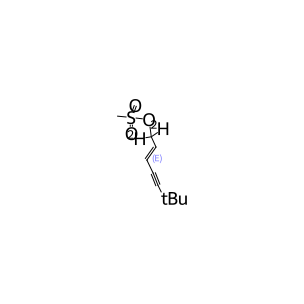 [2H]C([2H])(/C=C/C#CC(C)(C)C)OS(C)(=O)=O